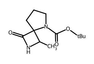 CC1NC(=O)C12CCCN2C(=O)OC(C)(C)C